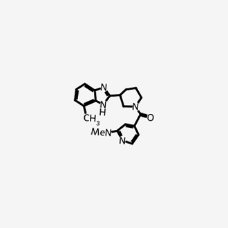 CNc1cc(C(=O)N2CCCC(c3nc4cccc(C)c4[nH]3)C2)ccn1